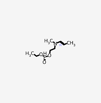 C/C=C/N(C)CCO[PH](=O)OCC